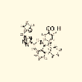 O=C(O)c1ccc2c(C3CCCCC3)c3n(c2c1)CC(c1nnn(CC2CCCO2)n1)=Cc1ccccc1-3